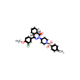 COc1ccc(C2=NN(C3CCN(S(=O)(=O)c4ccc(C)cc4)CC3)C(=O)[C@@H]3CC=CC[C@H]23)cc1Cl